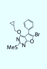 CSc1nc(OCC2CC2)c2c(-c3ccccc3)c(Br)oc2n1